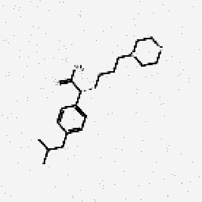 CC(C)Cc1ccc([C@@H](CCCCN2CCOCC2)C(N)=O)cc1